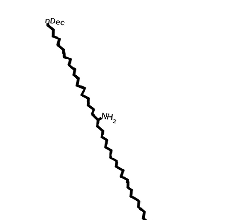 CCCCCCCCCCCCCCCCCCCCCCCCCCCCCC(N)CCCCCCCCCCCCCCCCCCCCCCCCCCCCC